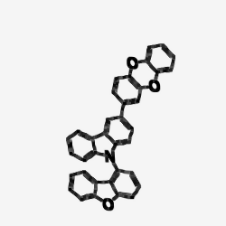 c1ccc2c(c1)Oc1ccc(-c3ccc4c(c3)c3ccccc3n4-c3cccc4oc5ccccc5c34)cc1O2